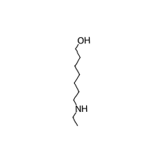 CCNCCCCCCCO